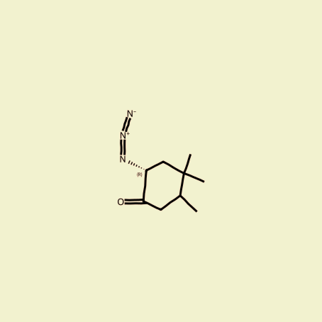 CC1CC(=O)[C@H](N=[N+]=[N-])CC1(C)C